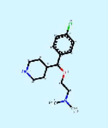 CN(C)CCOC(c1ccc(Cl)cc1)C1CCNCC1